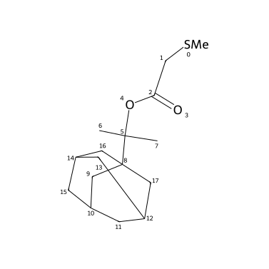 CSCC(=O)OC(C)(C)C12CC3CC(CC(C3)C1)C2